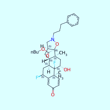 CCCCOC(=O)[C@@]12ON(CCCc3ccccc3)C[C@@H]1C[C@H]1[C@@H]3C[C@H](F)C4=CC(=O)C=C[C@]4(C)C3(F)[C@@H](O)C[C@@]12C